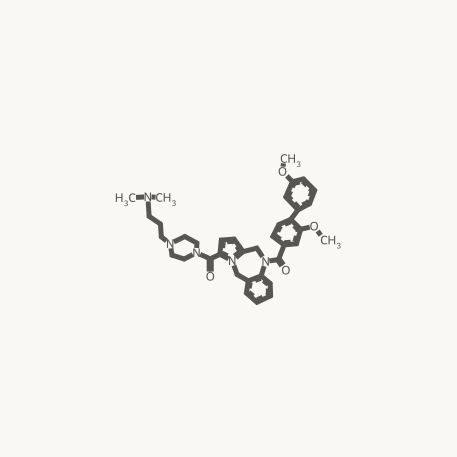 COc1cccc(-c2ccc(C(=O)N3Cc4ccc(C(=O)N5CCN(CCCN(C)C)CC5)n4Cc4ccccc43)cc2OC)c1